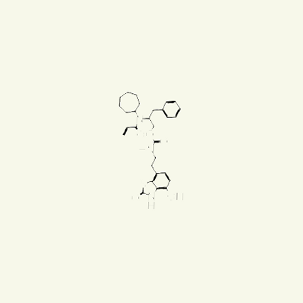 C=CC(=O)N(C1CCCCCC1)C(COC(=O)NCCc1ccc(O)c2[nH]c(=O)sc12)Cc1ccccc1